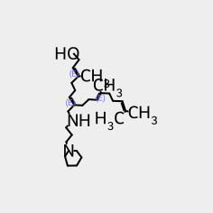 CC(C)=CCC/C(C)=C/CC/C(=C\CC/C(C)=C/CO)CNCCCN1CCCCC1